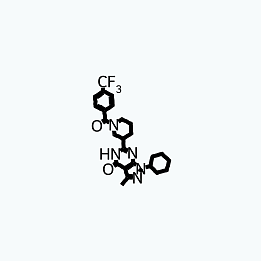 Cc1nn(C2CCCCC2)c2nc(C3CCCN(C(=O)c4ccc(C(F)(F)F)cc4)C3)[nH]c(=O)c12